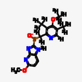 [2H]c1nc(C([2H])([2H])[S+]([O-])c2nc3nc(OC)ccc3n2[2H])c(C([2H])([2H])[2H])c(OC([2H])([2H])[2H])c1C([2H])([2H])[2H]